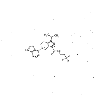 CC(C)n1nc(C(=O)NCCC(F)(F)F)c2c1CCN(c1ncnc3[nH]ccc13)C2